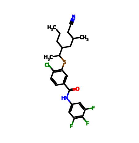 CCCC(CC(C)CC#N)C(C)Sc1cc(C(=O)Nc2cc(F)c(F)c(F)c2)ccc1Cl